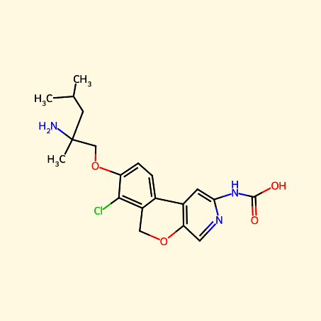 CC(C)CC(C)(N)COc1ccc2c(c1Cl)COc1cnc(NC(=O)O)cc1-2